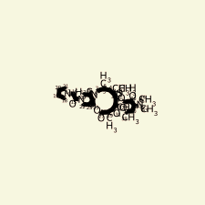 CO[C@]1(C)C[C@@H](C)CN(C)C2(CCN(C(=O)CN3CCCC3)CC2)COC(=O)C(C)C(=O)[C@H](C)[C@H]1O[C@@H]1O[C@H](C)C[C@H](N(C)C)[C@H]1O